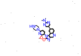 COc1nc(N2CCNCC2)ccc1-n1c(=O)n(C)c2cnc3ccc(-c4cnc(N(C)C)nc4)cc3c21